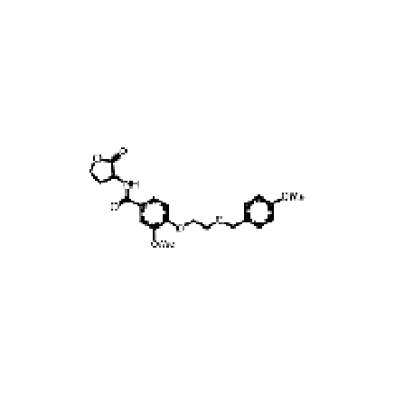 COc1ccc(COCCOc2ccc(C(=O)NC3CCOC3=O)cc2OC)cc1